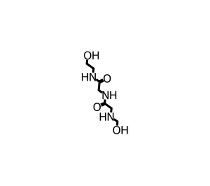 O=C(CNCO)NCC(=O)NCCO